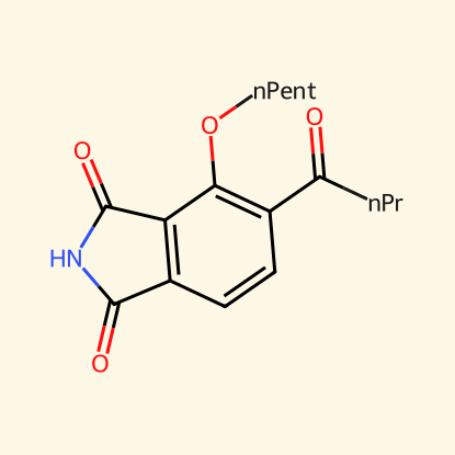 CCCCCOc1c(C(=O)CCC)ccc2c1C(=O)NC2=O